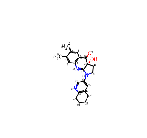 Cc1cc2c(cc1C)C(=O)[C@]1(O)CCN(c3cnc4c(c3)CCCC4)C1=N2